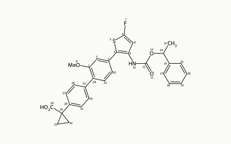 COc1cc(-c2sc(F)cc2NC(=O)OC(C)c2ccccc2)ccc1-c1ccc(C2(C(=O)O)CC2)cc1